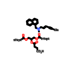 CCCCCCCC(=O)OCC(COC(=O)CCCCCCC)OC(=O)CCC(=O)O.CN(C/C=C/C#CC(C)(C)C)Cc1cccc2ccccc12